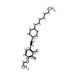 CCCCCCCC1CCC(C#Cc2ccc(OCC)c(F)c2F)CC1